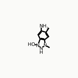 Cc1cc2c(cc1N)N(O)NN2C